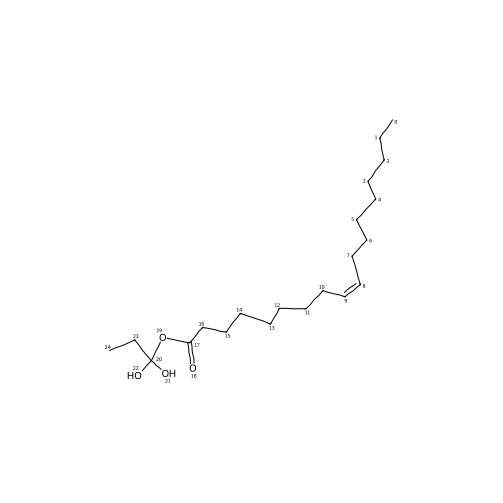 CCCCCCCC/C=C\CCCCCCCC(=O)OC(O)(O)CC